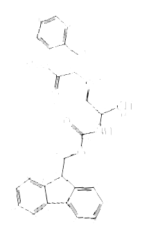 COC(=O)[C@H](Cc1ccccc1)OCC(C)NC(=O)OCC1c2ccccc2-c2ccccc21